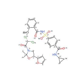 CC1(C)OC(c2ccco2)CN1C(=O)C(Cl)Cl.COc1ccccc1C(=O)NS(=O)(=O)c1ccc(C(=O)NC2CC2)cc1